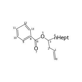 C=CCC(CCCCCCC)OC(=O)c1ccccc1